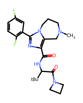 CN1CCCn2c(-c3cc(F)ccc3F)nc(C(=O)NC(C(=O)N3CCC3)C(C)(C)C)c2C1